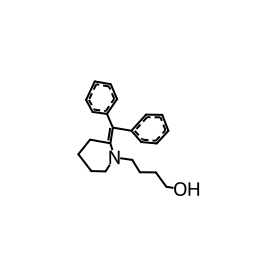 OCCCCN1CCCCC1=C(c1ccccc1)c1ccccc1